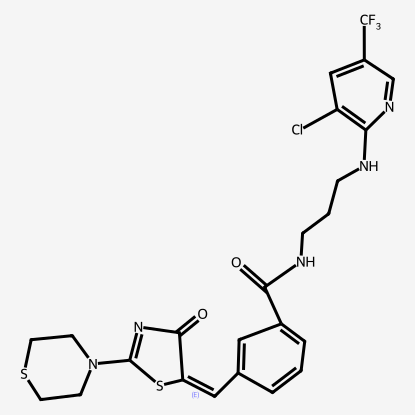 O=C1N=C(N2CCSCC2)S/C1=C/c1cccc(C(=O)NCCCNc2ncc(C(F)(F)F)cc2Cl)c1